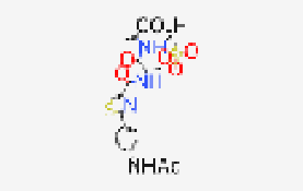 C=C(NC(=O)C(COS(C)(=O)=O)NC(=O)c1csc(-c2ccc(NC(C)=O)cc2)n1)C(=O)O